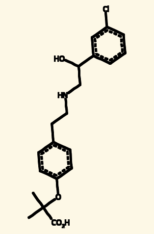 CC(C)(Oc1ccc(CCNCC(O)c2cccc(Cl)c2)cc1)C(=O)O